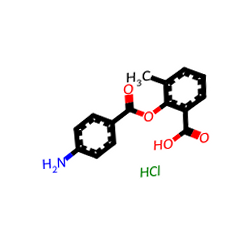 Cc1cccc(C(=O)O)c1OC(=O)c1ccc(N)cc1.Cl